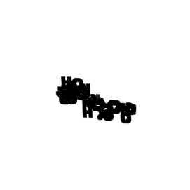 CC1Oc2cc(N3CCCC3=O)ccc2-c2cnc(Nc3cnc4c(c3)N3[C@H](CO4)CN(C)S3(=O)=O)cc21